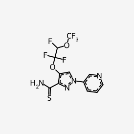 NC(=S)c1nn(-c2cccnc2)cc1OC(F)(F)C(F)OC(F)(F)F